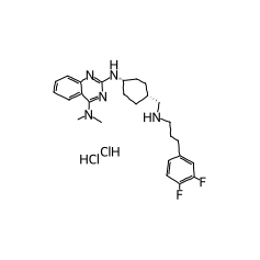 CN(C)c1nc(N[C@H]2CC[C@@H](CNCCCc3ccc(F)c(F)c3)CC2)nc2ccccc12.Cl.Cl